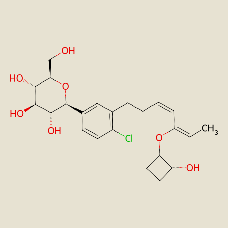 C/C=C(\C=C/CCc1cc([C@@H]2O[C@H](CO)[C@@H](O)[C@H](O)[C@H]2O)ccc1Cl)OC1CCC1O